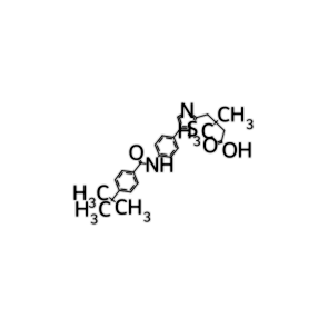 CC(C)(CC(=O)O)Cc1ncc(-c2ccc(NC(=O)c3ccc(C(C)(C)C)cc3)cc2)s1